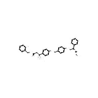 CO/N=C(\COc1ccc(COc2ccc(C(N)CC(=O)OCc3ccccc3)cc2)cc1)c1ccccc1